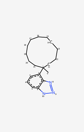 CC1(c2cccc3c2N=N[N]3)CCCCCCCCCCC1